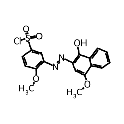 COc1ccc(S(=O)(=O)Cl)cc1/N=N/c1cc(OC)c2ccccc2c1O